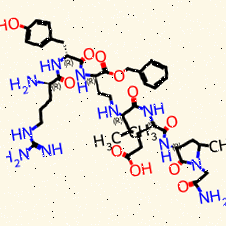 CC(C)[C@@H](NCC[C@@H](NC(=O)[C@@H](Cc1ccc(O)cc1)NC(=O)[C@H](N)CCCNC(=N)N)C(=O)OCc1ccccc1)C(=O)N[C@H](CCC(=O)O)C(=O)N[C@@H]1CC(C)N(CC(N)=O)C1=O